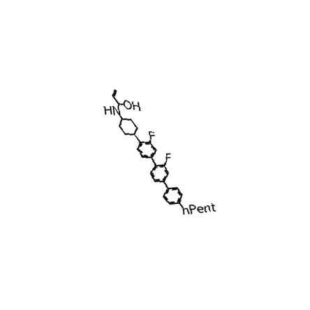 C=CC(O)NC1CCC(c2ccc(-c3ccc(-c4ccc(CCCCC)cc4)cc3F)cc2F)CC1